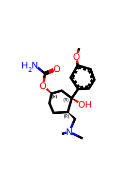 COc1cccc([C@@]2(O)C[C@H](OC(N)=O)CC[C@@H]2CN(C)C)c1